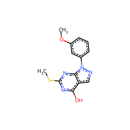 COc1cccc(-n2ncc3c(O)nc(SC)nc32)c1